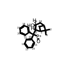 CC1(C)C2CC1[C@H](C(P=O)(c1ccccc1)c1ccccc1)[C@H](O)C2